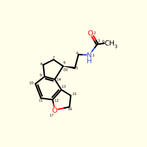 CC(=O)NCC[C@@H]1CCc2ccc3c(c21)CCO3